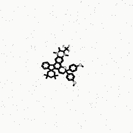 COc1ccc(C2(c3ccc(OC)cc3)C=Cc3c4c(c5cc6c(cc5c3O2)N(C)C(C(F)(F)F)C(C)N6C)-c2ccccc2C42CC(C)(C)CC(C)(C)C2)cc1